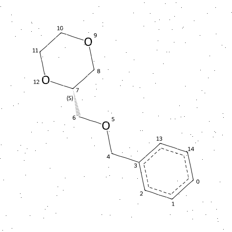 c1ccc(COC[C@H]2COCCO2)cc1